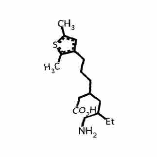 CCC(CN)CC(CCCc1cc(C)sc1C)CC(=O)O